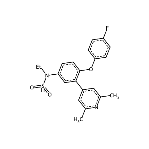 CCN(c1ccc(Oc2ccc(F)cc2)c(-c2cc(C)nc(C)c2)c1)[SH](=O)=O